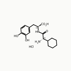 Cl.N[C@H](C(=O)N[C@@H](Cc1ccc(O)c(O)c1)C(=O)O)C1CCCCC1